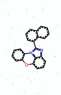 c1ccc2c(c1)Oc1cccc3nc(-c4cccc5ccccc45)n-2c13